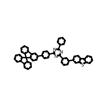 c1ccc(-c2nc(-c3ccc(-c4ccc5c(c4)-c4ccccc4C54c5ccccc5-c5ccccc54)cc3)nc(-c3cccc(-c4ccc5c(c4)sc4ccccc45)c3)n2)cc1